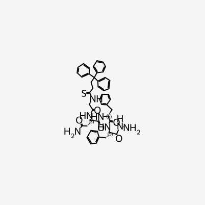 NNC(=O)[C@H](Cc1ccccc1)NC(=O)[C@H](Cc1ccccc1)NC(=O)[C@H](CC(N)=O)NC(=O)CNC(=S)CCC(c1ccccc1)(c1ccccc1)c1ccccc1